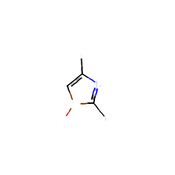 CC(C)c1c[s+]([O-])c(C(C)C)n1